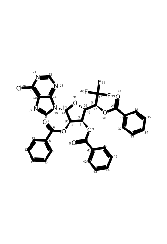 O=C(O[C@H]1[C@@H](OC(=O)c2ccccc2)[C@H](n2cnc3c(Cl)ncnc32)O[C@@H]1[C@H](OC(=O)c1ccccc1)C(F)(F)F)c1ccccc1